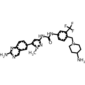 Cn1nc(NC(=O)Nc2ccc(CN3CCC(N)CC3)c(C(F)(F)F)c2)cc1-c1ccc2nc(N)ncc2c1